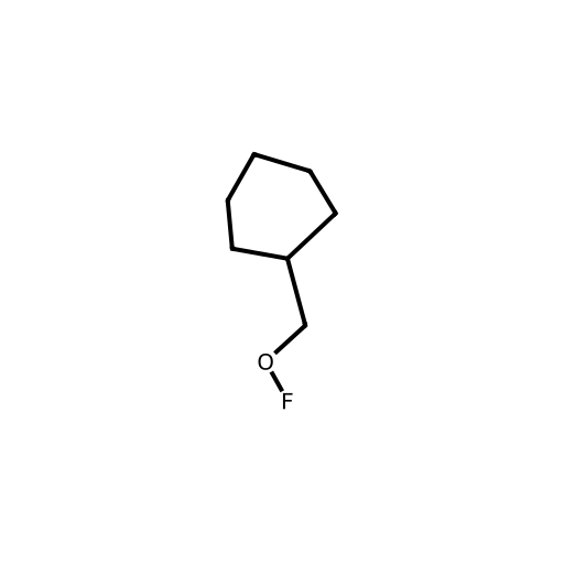 FOCC1CCCCC1